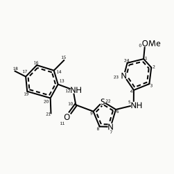 COc1ccc(Nc2ncc(C(=O)Nc3c(C)cc(C)cc3C)s2)nc1